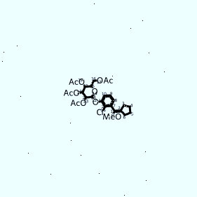 COC(=C1CCCC1)c1cccc(O[C@@H]2OC(COC(C)=O)C(OC(C)=O)C(OC(C)=O)C2OC(C)=O)c1Cl